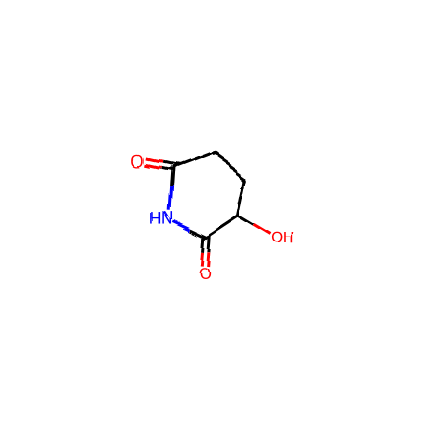 O=C1CCC(O)C(=O)N1